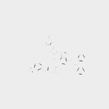 CCn1nnc([C@H]2O[C@@H](n3cnc4c(NCC(c5ccccc5)c5ccccc5)nc(N5CC[C@@H](NC(=O)Nc6cccc(S(N)(=O)=O)c6)C5)nc43)[C@H](O)[C@@H]2O)n1